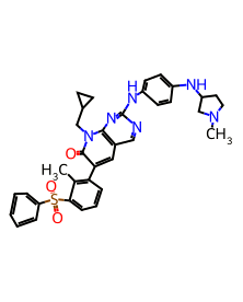 Cc1c(-c2cc3cnc(Nc4ccc(NC5CCN(C)C5)cc4)nc3n(CC3CC3)c2=O)cccc1S(=O)(=O)c1ccccc1